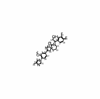 COc1cc(C2=NOC3(CCCN(C(CO)c4ccc(F)c(F)c4)C3=O)C2)ccc1-n1cnc(C)c1